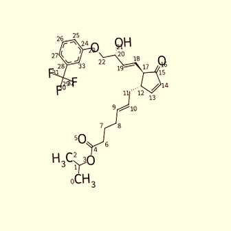 CC(C)OC(=O)CCC/C=C/C[C@H]1C=CC(=O)[C@@H]1/C=C/[C@@H](O)COc1cccc(C(F)(F)F)c1